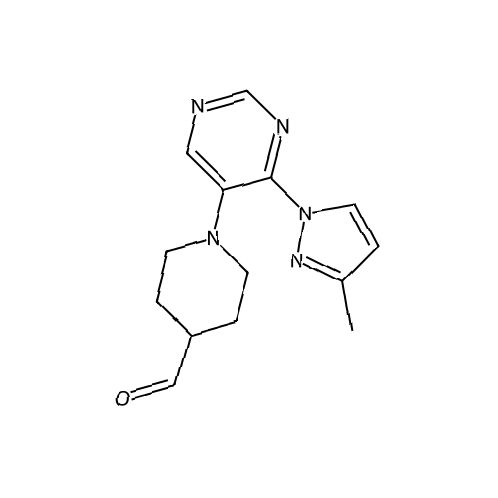 Cc1ccn(-c2ncncc2N2CCC(C=O)CC2)n1